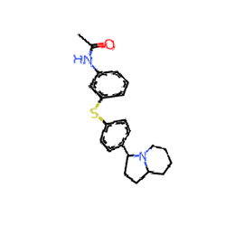 CC(=O)Nc1cccc(Sc2ccc(C3CCC4CCCCN43)cc2)c1